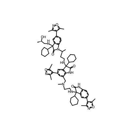 Cc1noc(C)c1-c1ccc2c(c1)C(NCCN(C)Cc1cc(-c3c(C)noc3C)cc3c1NC(=O)C3(NCCC(C)N1C(=O)C(NC[C@@H](C)O)(C3CCCCC3)c3cc(-c4c(C)noc4C)ccc31)C1CCCCC1)(C1CCCCC1)C(=O)N2